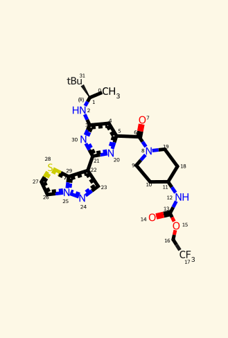 C[C@@H](Nc1cc(C(=O)N2CCC(NC(=O)OCC(F)(F)F)CC2)nc(-c2cnn3ccsc23)n1)C(C)(C)C